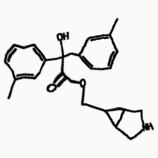 Cc1cccc(C(O)(C(=O)OCC2C3CNCC32)c2cccc(C)c2)c1